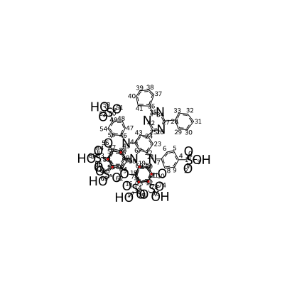 O=S(=O)(O)c1ccc2c(c1)Oc1cc(S(=O)(=O)O)ccc1N2c1cc(-c2nc(-c3ccccc3)nc(-c3ccccc3)n2)cc(N2c3ccc(S(=O)(=O)O)cc3Oc3cc(S(=O)(=O)O)ccc32)c1N1c2ccc(S(=O)(=O)O)cc2Oc2cc(S(=O)(=O)O)ccc21